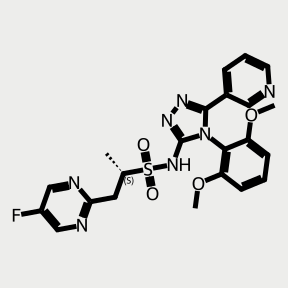 COc1cccc(OC)c1-n1c(NS(=O)(=O)[C@@H](C)Cc2ncc(F)cn2)nnc1-c1cccnc1